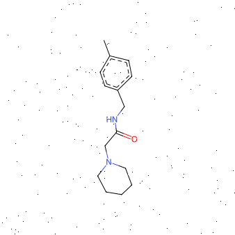 Cc1ccc(CNC(=O)CN2CCCCC2)cc1